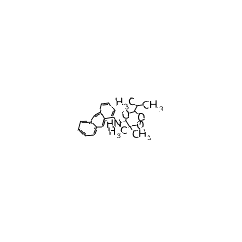 CC(C)C1OOC(C)(C)C(Nc2cccc3cc4ccccc4cc23)O1